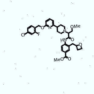 COCC(C(=O)Nc1ccc(C(=O)OC)cc1CC1CCO1)N1CCC(c2cccc(OCc3ccc(Cl)cc3F)n2)CC1